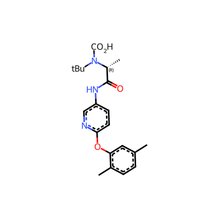 Cc1ccc(C)c(Oc2ccc(NC(=O)[C@@H](C)N(C(=O)O)C(C)(C)C)cn2)c1